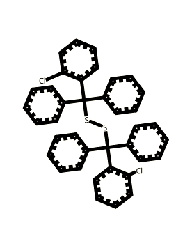 Clc1ccccc1C(SSC(c1ccccc1)(c1ccccc1)c1ccccc1Cl)(c1ccccc1)c1ccccc1